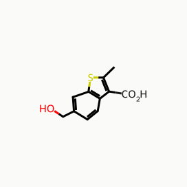 Cc1sc2cc(CO)ccc2c1C(=O)O